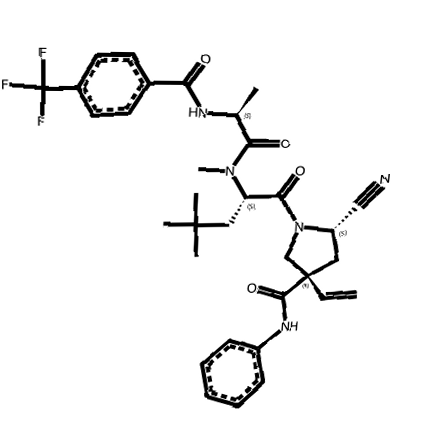 C=C[C@]1(C(=O)Nc2ccccc2)C[C@@H](C#N)N(C(=O)[C@H](CC(C)(C)C)N(C)C(=O)[C@H](C)NC(=O)c2ccc(C(F)(F)F)cc2)C1